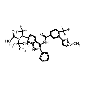 Cn1ccc(-c2cc(C(=O)Nc3c4ccc(C(N(C(=O)O)C(C)(C)C)C(F)(F)F)cc4nn3-c3ccccc3)ccc2C(F)(F)F)n1